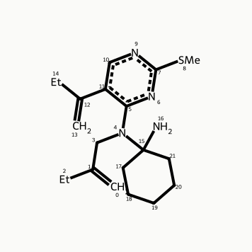 C=C(CC)CN(c1nc(SC)ncc1C(=C)CC)C1(N)CCCCC1